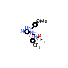 COc1ccc(CNC2CC(N(C)C)CCC2NC(=O)CN(C(=O)C(F)(F)F)c2cccc(C(F)(F)F)c2)cc1